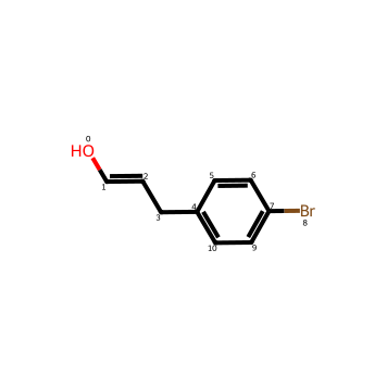 OC=CCc1ccc(Br)cc1